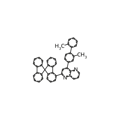 Cc1ccccc1-c1ccc(-c2cc(-c3cccc4c3-c3ccccc3C43c4ccccc4-c4ccccc43)nc3cccnc23)cc1C